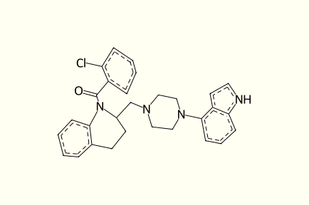 O=C(c1ccccc1Cl)N1c2ccccc2CCC1CN1CCN(c2cccc3[nH]ccc23)CC1